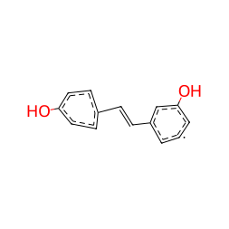 Oc1ccc(C=Cc2c[c]cc(O)c2)cc1